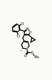 C[C@@H]1CC(Cc2c(-c3c(Cl)cccc3Cl)noc2C2CC2)=CCN1C(=O)OC(C)(C)C